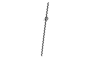 CCCCCCCCCCCCCCCCCCCCCCCCCCC[CH]OCCCCCCCCCCCC